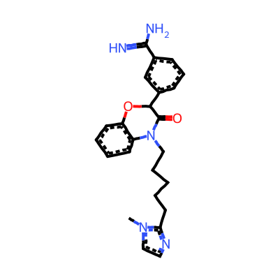 Cn1ccnc1CCCCCN1C(=O)C(c2cccc(C(=N)N)c2)Oc2ccccc21